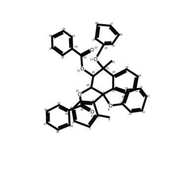 Cc1ccccc1C1(Oc2ccccc2)c2ccccc2C(C)(Oc2ccccc2)C(OC(=O)c2ccccc2)C1OC(=O)c1ccccc1